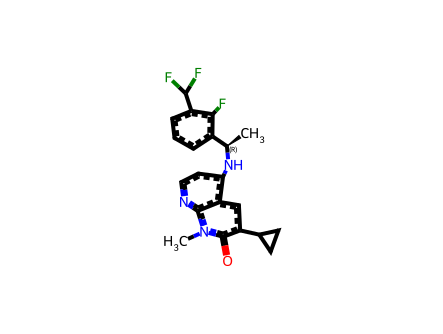 C[C@@H](Nc1ccnc2c1cc(C1CC1)c(=O)n2C)c1cccc(C(F)F)c1F